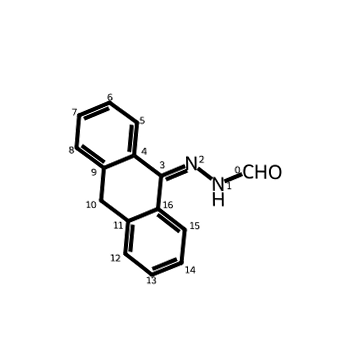 O=CNN=C1c2ccccc2Cc2ccccc21